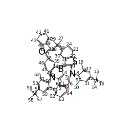 Cc1cc2c3c(c1)N(c1c(C)cc(C(C)(C)C)cc1C)c1sc4ccc(C(C)(C)C)cc4c1B3c1cc(-c3cc4ccccc4o3)ccc1N2c1c(C)cc(C(C)(C)C)cc1-c1ccccc1